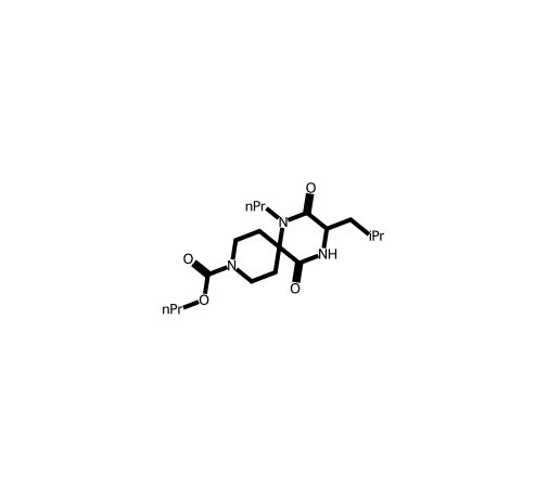 CCCOC(=O)N1CCC2(CC1)C(=O)NC(CC(C)C)C(=O)N2CCC